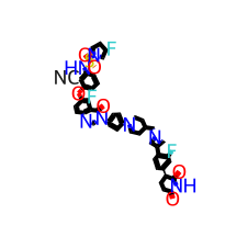 N#Cc1c(NS(=O)(=O)N2CC[C@@H](F)C2)ccc(F)c1Oc1ccc2ncn(-c3ccc(N4CCC(CN5CC(c6ccc([C@@H]7CCC(=O)NC7=O)cc6F)C5)CC4)cc3)c(=O)c2c1